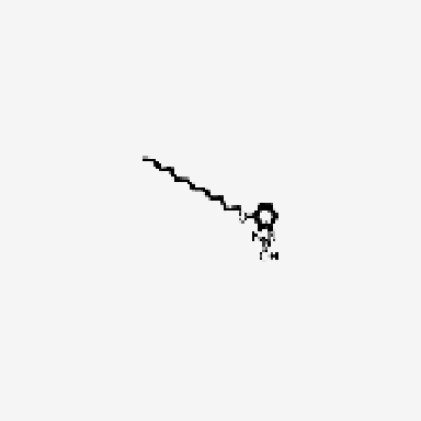 CCCCCCCCCCCCOc1cccc2nn(O)nc12